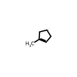 CC1=CC[CH]C1